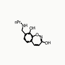 CCCNCc1ccc2c(c1O)ON=C(O)C=C2